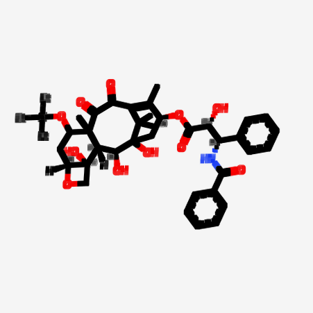 CC[Si](CC)(CC)OC1C[C@H]2OC[C@@]2(O)[C@H]2[C@H](O)C3(O)C[C@H](OC(=O)[C@H](O)[C@@H](NC(=O)c4ccccc4)c4ccccc4)C(C)=C(C(=O)C(=O)C12C)C3(C)C